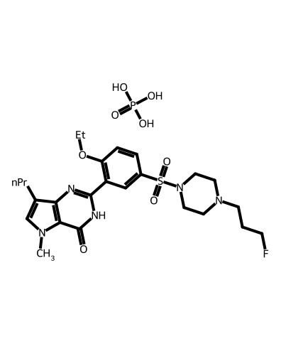 CCCc1cn(C)c2c(=O)[nH]c(-c3cc(S(=O)(=O)N4CCN(CCCF)CC4)ccc3OCC)nc12.O=P(O)(O)O